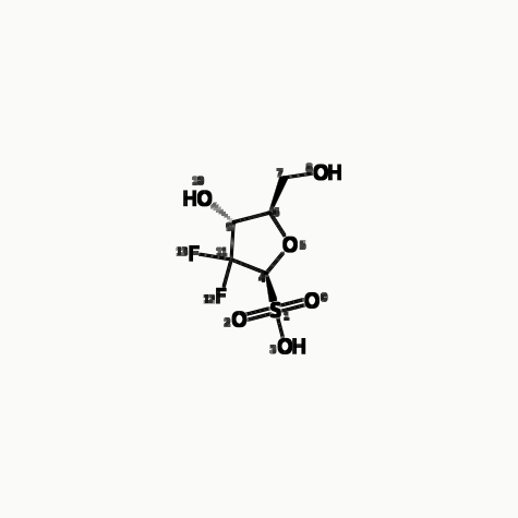 O=S(=O)(O)[C@@H]1O[C@H](CO)[C@@H](O)C1(F)F